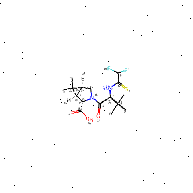 CC(C)(C)[C@H](NC(=S)C(F)F)C(=O)N1C[C@H]2[C@@H]([C@H]1C(=O)O)C2(C)C